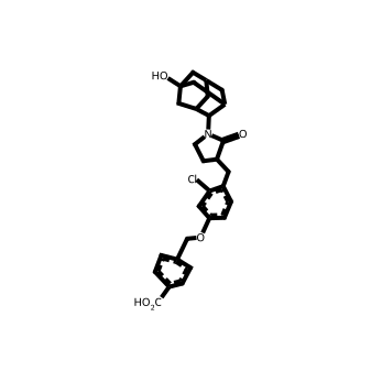 O=C(O)c1ccc(COc2ccc(CC3CCN(C4C5CC6CC4CC(O)(C6)C5)C3=O)c(Cl)c2)cc1